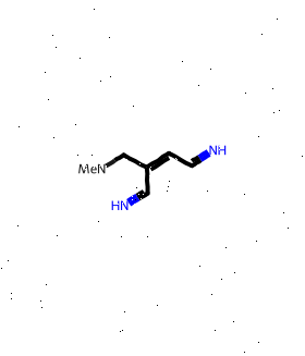 CNC/C(C=N)=C/C=N